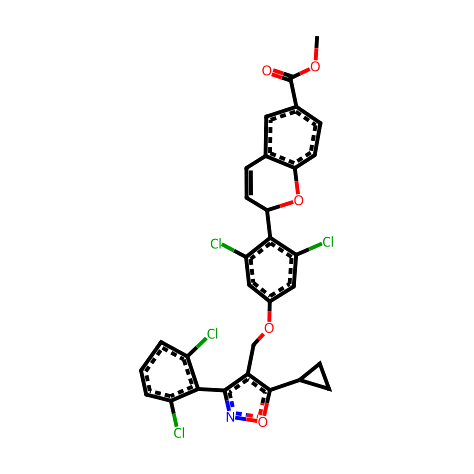 COC(=O)c1ccc2c(c1)C=CC(c1c(Cl)cc(OCc3c(-c4c(Cl)cccc4Cl)noc3C3CC3)cc1Cl)O2